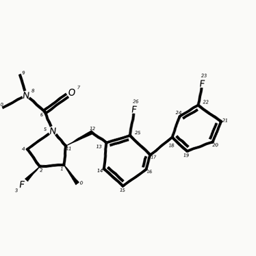 C[C@H]1[C@@H](F)CN(C(=O)N(C)C)[C@H]1Cc1cccc(-c2cccc(F)c2)c1F